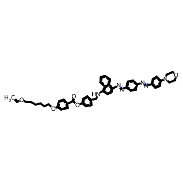 C=COCCCCCCOc1ccc(C(=O)Oc2ccc(CNc3ccc(/N=N/c4ccc(/N=N/c5ccc(N6CCOCC6)cc5)cc4)c4ccccc34)cc2)cc1